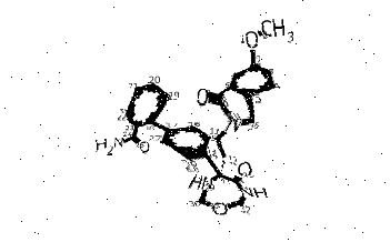 COc1ccc2c(c1)C(=O)N(CC[C@@]1(c3ccc(-c4ccccc4C(N)=O)cc3)NCOCNC1=O)C2